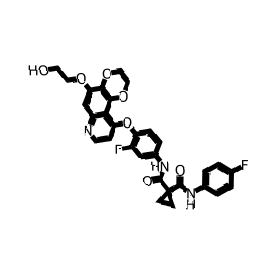 O=C(Nc1ccc(F)cc1)C1(C(=O)Nc2ccc(Oc3ccnc4cc(OCCO)c5c(c34)OCCO5)c(F)c2)CC1